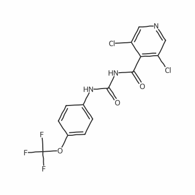 O=C(NC(=O)c1c(Cl)cncc1Cl)Nc1ccc(OC(F)(F)F)cc1